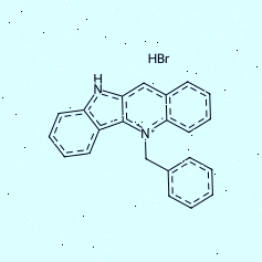 Br.c1ccc(C[n+]2c3ccccc3cc3[nH]c4ccccc4c32)cc1